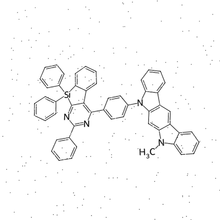 Cn1c2ccccc2c2cc3c4ccccc4n(-c4ccc(-c5nc(-c6ccccc6)nc6c5-c5ccccc5[Si]6(c5ccccc5)c5ccccc5)cc4)c3cc21